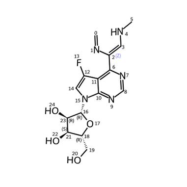 C=N/C(=C\NC)c1ncnc2c1c(F)cn2[C@@H]1O[C@H](CO)[C@@H](O)[C@H]1O